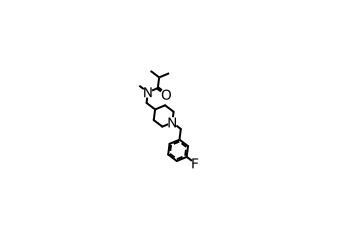 CC(C)C(=O)N(C)CC1CCN(Cc2cccc(F)c2)CC1